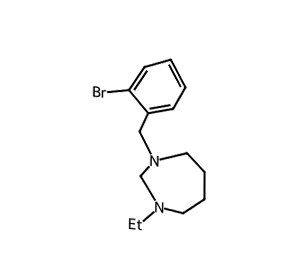 CCN1CCCCN(Cc2ccccc2Br)C1